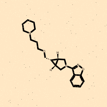 c1ccc2c(N3C[C@@H]4[C@H](COCCCN5CCCCC5)[C@@H]4C3)noc2c1